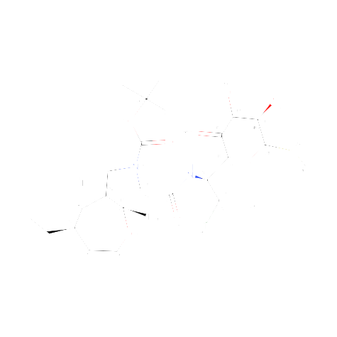 CC[C@@H]1CCO[C@@H]2[C@@H](C1)CN(C(=O)OC(C)(C)C)[C@@H]2C(=O)N[C@H]([C@H](C)Cl)[C@H]1OC(SC)[C@H](O)C(O)C1=O